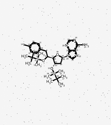 CC(C)(C)[Si](C)(C)OC(Cc1ccc(I)cc1)[C@H]1O[C@@H](n2cnc3c(N)ncnc32)C[C@@H]1O[Si](C)(C)C(C)(C)C